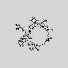 C[C@H]1CCC(=O)NCCCC[C@@H](C(N)=O)N[C@@H](O)[C@H](Cc2c[nH]c3ccccc23)N[C@@H](O)[C@H](CCCNC(=N)N)NC(=O)[C@@H](Cc2ccccc2)NC(=O)[C@@H]2C[C@@H](O)CN2C1=O